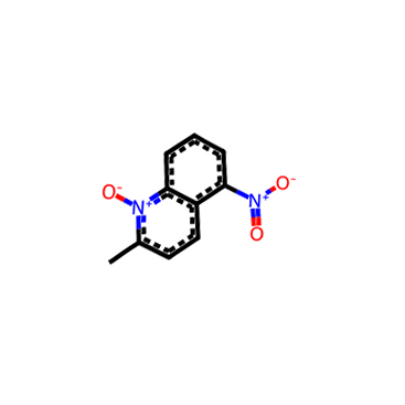 Cc1ccc2c([N+](=O)[O-])cccc2[n+]1[O-]